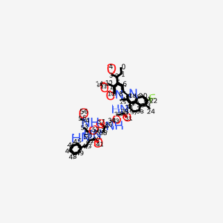 CCC(C=O)c1cc2n(c(=O)c1COC)Cc1c-2nc2cc(F)c(C)c3c2c1C(NC(=O)COCNC(=O)CNC(=O)C(Cc1ccccc1)NC(=O)CNC=O)CC3